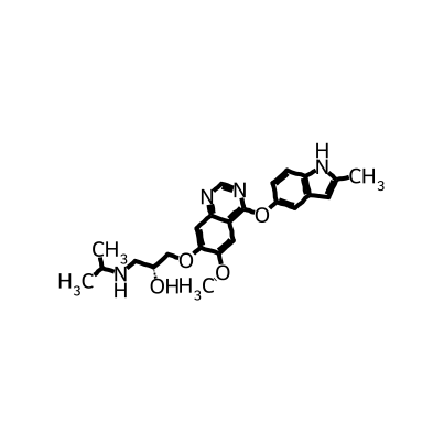 COc1cc2c(Oc3ccc4[nH]c(C)cc4c3)ncnc2cc1OC[C@H](O)CNC(C)C